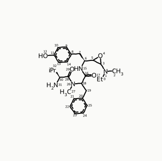 CCN(C)C1OC1[C@H](Cc1ccc(O)cc1)NC(=O)C(Cc1ccccc1)N(C)C(=O)[C@@H](N)C(C)C